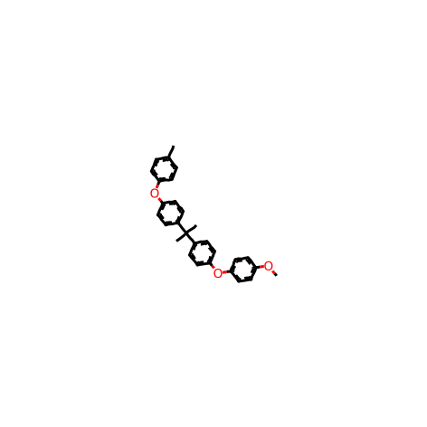 COc1ccc(Oc2ccc(C(C)(C)c3ccc(Oc4ccc(C)cc4)cc3)cc2)cc1